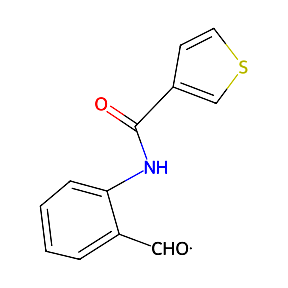 O=[C]c1ccccc1NC(=O)c1ccsc1